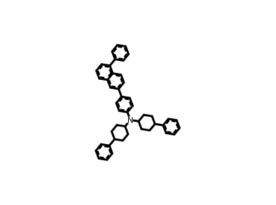 c1ccc(-c2cccc3cc(-c4ccc(N(C5CCC(c6ccccc6)CC5)C5CCC(c6ccccc6)CC5)cc4)ccc23)cc1